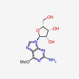 COc1nc(N)nc2c1ncn2[C@H]1O[C@H](CO)[C@H](O)[C@@H]1O